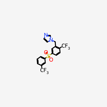 O=S(=O)(c1cccc(C(F)(F)F)c1)c1ccc(C(F)(F)F)c(Cn2ccnc2)c1